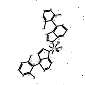 [CH2]=[Hf]([CH3])([CH3])([CH2]C)([CH2]C)([CH]1C=Cc2c(-c3c(C)cccc3C)cccc21)[CH]1C=Cc2c(-c3c(C)cccc3C)cccc21